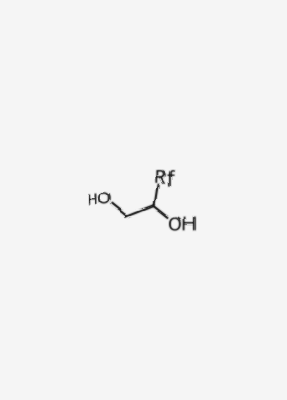 OC[CH](O)[Rf]